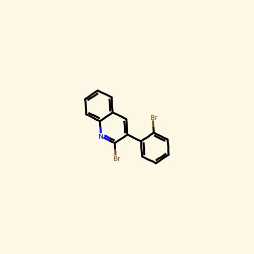 Brc1ccccc1-c1cc2ccccc2nc1Br